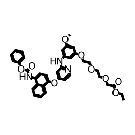 CCOC(=O)COCCOCCOc1cc(Nc2cc(Oc3ccc(NC(=O)Oc4ccccc4)c4ccccc34)ccn2)cc(OC)c1